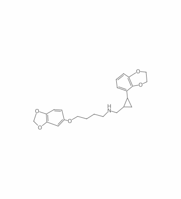 c1cc2c(c(C3CC3CNCCCCOc3ccc4c(c3)OCO4)c1)OCCO2